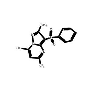 CSc1nn2c(O)cc(C(F)(F)F)nc2c1S(=O)(=O)c1ccccc1